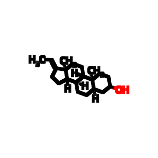 C/C=C1\CC[C@H]2[C@@H]3CC[C@@H]4C[C@H](O)CC[C@]4(C)[C@H]3CC[C@]12C